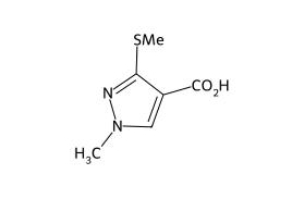 CSc1nn(C)cc1C(=O)O